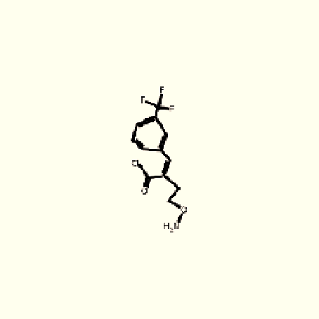 NOCCC(=Cc1cccc(C(F)(F)F)c1)C(=O)Cl